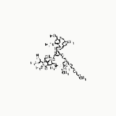 C/C=N\c1cc(OCc2cc(OCCN(CCOCCOCCOC)CC(C)(C)SSC)cc(COc3cc(/N=C\C4C/C(=C\C)CN4C)c(CO)cc3OC)n2)c(OC)cc1C(=O)N(C)C/C(=C/C)CC